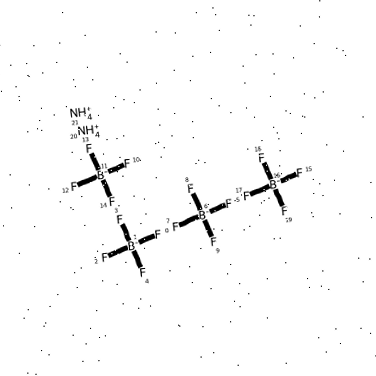 F[B-](F)(F)F.F[B-](F)(F)F.F[B-](F)(F)F.F[B-](F)(F)F.[NH4+].[NH4+]